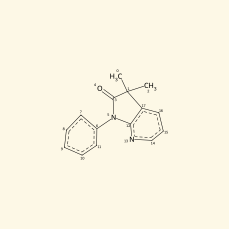 CC1(C)C(=O)N(c2ccccc2)c2ncccc21